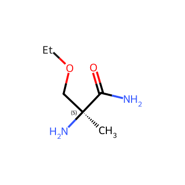 CCOC[C@](C)(N)C(N)=O